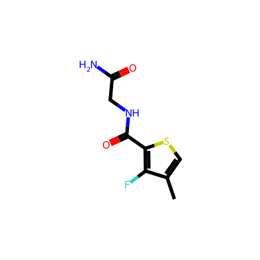 Cc1csc(C(=O)NCC(N)=O)c1F